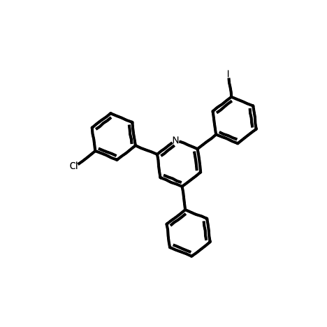 Clc1cccc(-c2cc(-c3ccccc3)cc(-c3cccc(I)c3)n2)c1